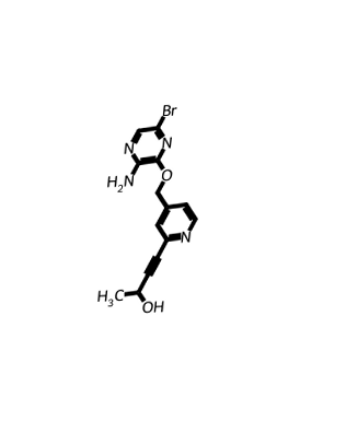 CC(O)C#Cc1cc(COc2nc(Br)cnc2N)ccn1